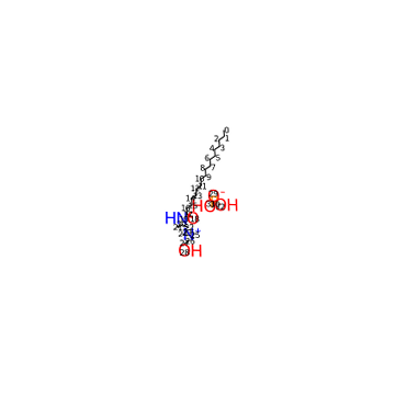 CCCCCCCCCCCCCCCCCC(=O)NC(C)C[N+](C)(C)CCO.[O-]P(O)O